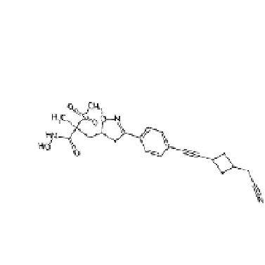 CC(CC1CC(c2ccc(C#CC3CC(CC#N)C3)cc2)=NO1)(C(=O)NO)S(C)(=O)=O